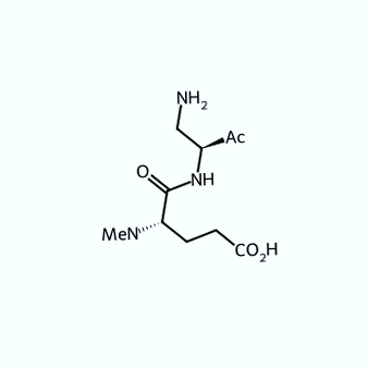 CN[C@@H](CCC(=O)O)C(=O)N[C@@H](CN)C(C)=O